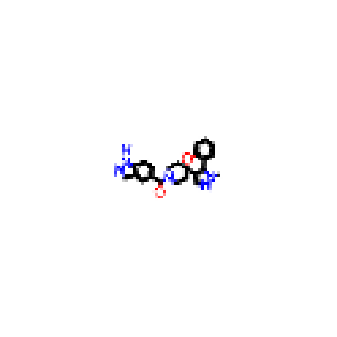 Cn1ncc2c1-c1ccccc1OC21CCN(C(=O)c2ccc3[nH]ncc3c2)CC1